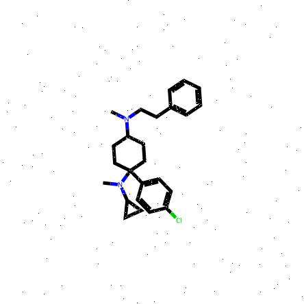 CN(CCc1ccccc1)C1CCC(c2ccc(Cl)cc2)(N(C)C2CC2)CC1